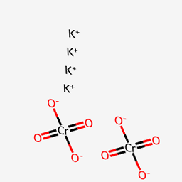 [K+].[K+].[K+].[K+].[O]=[Cr](=[O])([O-])[O-].[O]=[Cr](=[O])([O-])[O-]